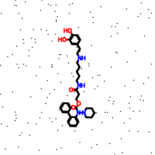 O=C(CCOC(=O)N(c1ccccc1-c1ccccc1)N1CC[CH]CC1)NCCCCCNCCc1ccc(O)c(O)c1